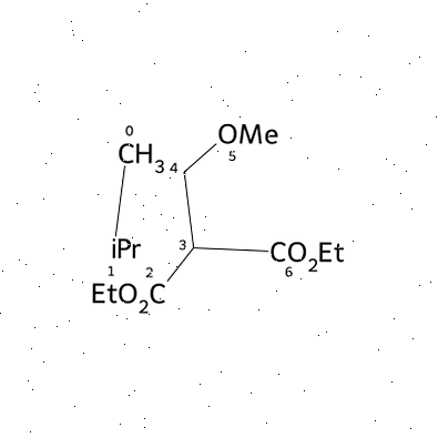 CC(C)C.CCOC(=O)C(COC)C(=O)OCC